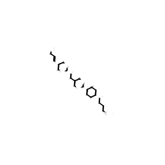 CC/C=C/[C@H]1CO[C@H](CCC2COC([C@H]3CC[C@H](CCCCC)CC3)OC2)OC1